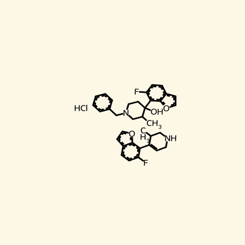 CC1CN(Cc2ccccc2)CCC1(O)c1c(F)ccc2ccoc12.CC1CNCC=C1c1c(F)ccc2ccoc12.Cl